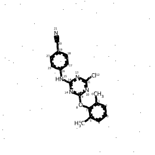 Cc1cccc(C)c1Oc1nc(Cl)nc(Nc2ccc(C#N)cc2)n1